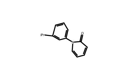 CC(C)c1cccc(-n2ccccc2=O)c1